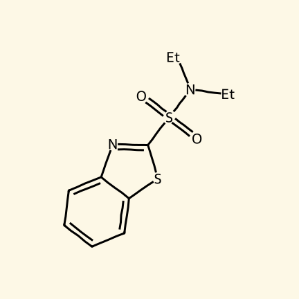 CCN(CC)S(=O)(=O)c1nc2ccccc2s1